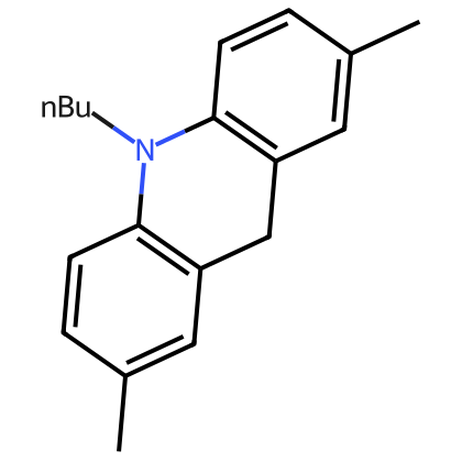 CCCCN1c2ccc(C)cc2Cc2cc(C)ccc21